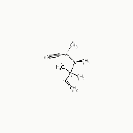 C=CC(C)(C)[C@H](C)[C@@H](C)C#N